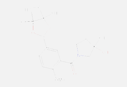 COc1ccc(B2OC(C)(C)C(C)(C)O2)cc1C(=O)N1CCC(C)(O)C1